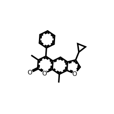 Cc1c(-c2ccccc2)c2cc3c(C4CC4)coc3c(C)c2oc1=O